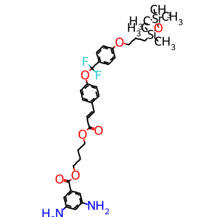 C[Si](C)(C)O[Si](C)(C)CCCOc1ccc(C(F)(F)Oc2ccc(C=CC(=O)OCCCCOC(=O)c3cc(N)cc(N)c3)cc2)cc1